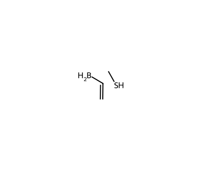 BC=C.CS